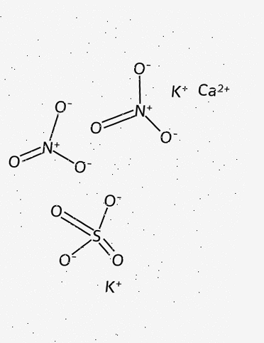 O=S(=O)([O-])[O-].O=[N+]([O-])[O-].O=[N+]([O-])[O-].[Ca+2].[K+].[K+]